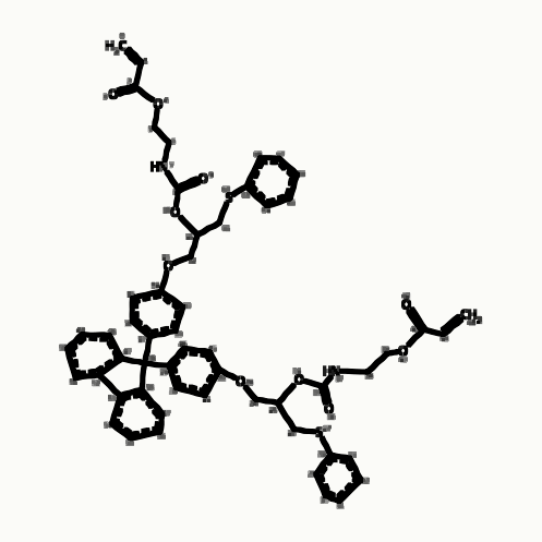 C=CC(=O)OCCNC(=O)OC(COc1ccc(C2(c3ccc(OCC(CSc4ccccc4)OC(=O)NCCOC(=O)C=C)cc3)c3ccccc3-c3ccccc32)cc1)CSc1ccccc1